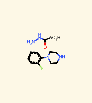 Fc1ccccc1N1CCNCC1.NNC(=O)S(=O)(=O)O